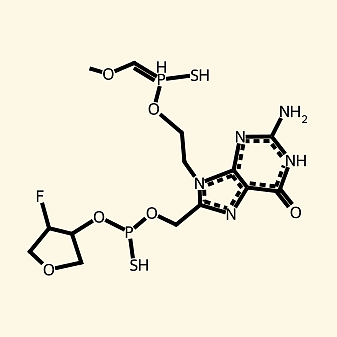 CO/C=[PH](/S)OCCn1c(COP(S)OC2COCC2F)nc2c(=O)[nH]c(N)nc21